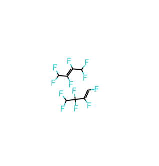 FC(=C(F)C(F)F)C(F)F.FC=C(F)C(F)(F)C(F)F